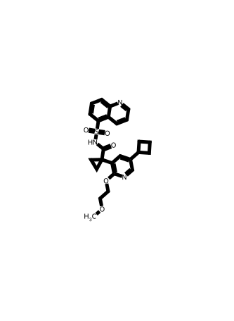 COCCOc1ncc(C2CCC2)cc1C1(C(=O)NS(=O)(=O)c2cccc3ncccc23)CC1